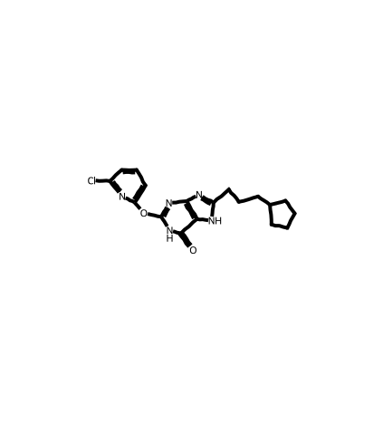 O=c1[nH]c(Oc2cccc(Cl)n2)nc2nc(CCCC3CCCC3)[nH]c12